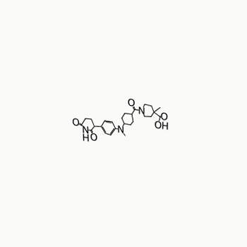 CN(c1ccc(C2CCC(=O)NC2=O)cc1)C1CCC(C(=O)N2CCC(C)(C(=O)O)CC2)CC1